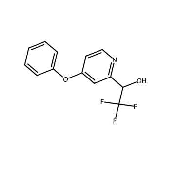 OC(c1cc(Oc2ccccc2)ccn1)C(F)(F)F